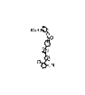 COc1ccnc(OCC(=O)N2CCC(c3nc(C4=NOC(c5c(Cl)cccc5C#N)C4)cs3)CC2)c1